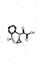 O=C(O)C(=O)N(c1ccccc1[N+](=O)[O-])C1CC1